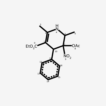 CCOC(=O)C1=C(C)NC(C)C(OC(C)=O)([N+](=O)[O-])C1c1ccccc1